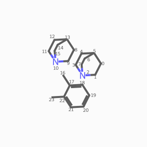 C1CN2CCC1CC2.C1CN2CCC1CC2.Cc1ccccc1C